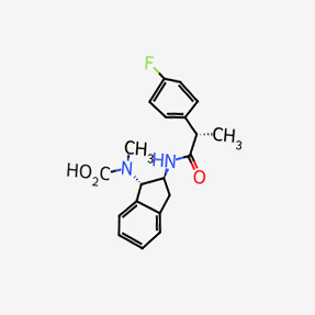 C[C@H](C(=O)N[C@H]1Cc2ccccc2[C@@H]1N(C)C(=O)O)c1ccc(F)cc1